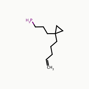 C=CCCCC1(CCCP)CC1